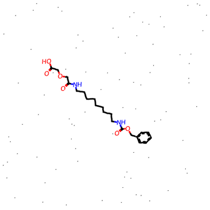 O=C(O)COCC(=O)NCCCCCCCCCNC(=O)OCc1ccccc1